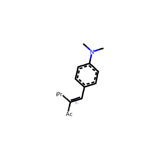 CC(=O)/C(=C/c1ccc(N(C)C)cc1)C(C)C